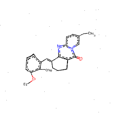 CCOc1cccc(C=C2CCCc3c2nc2ccc(C)cn2c3=O)c1OC